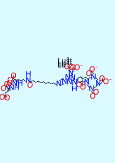 O=C([O-])CC[C@H](NC(=O)N[C@@H](CCCCNC(=O)CCCCCCCCCCN1CCN(c2nc(Nc3ccc(CC4CN(CC(=O)[O-])CCN(CC(=O)[O-])CCN(CC(=O)[O-])CCN4CC(=O)[O-])cc3)nc(N(CC(=O)[O-])CC(=O)[O-])n2)CC1)C(=O)[O-])C(=O)[O-].[Lu+3].[Lu+3].[Lu+3]